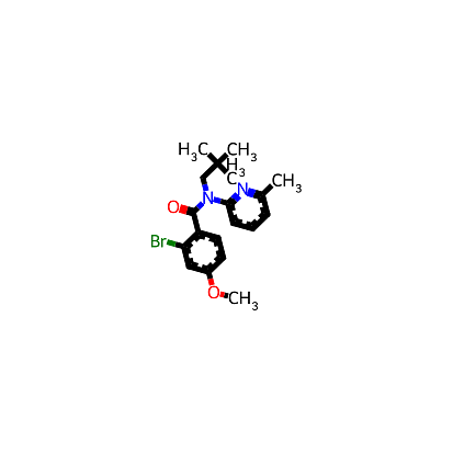 COc1ccc(C(=O)N(CC(C)(C)C)c2cccc(C)n2)c(Br)c1